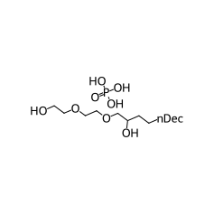 CCCCCCCCCCCCC(O)COCCOCCO.O=P(O)(O)O